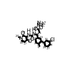 Cc1ccc([C@H](CC(=O)[O-])NC(=O)Nc2c([O-])ccn(C)c2=O)cc1-c1cccc(Cl)c1.[Na+].[Na+]